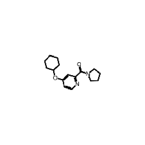 O=C(c1cc(OC2CCCCC2)ccn1)N1CCCC1